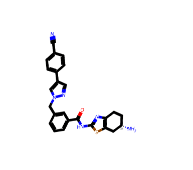 N#Cc1ccc(-c2cnn(Cc3cccc(C(=O)Nc4nc5c(s4)C[C@@H](N)CC5)c3)c2)cc1